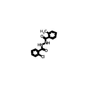 Cc1ccccc1C(=O)NNC(=O)c1ccccc1Cl